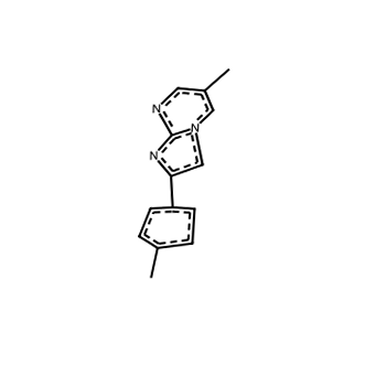 Cc1ccc(-c2cn3cc(C)cnc3n2)cc1